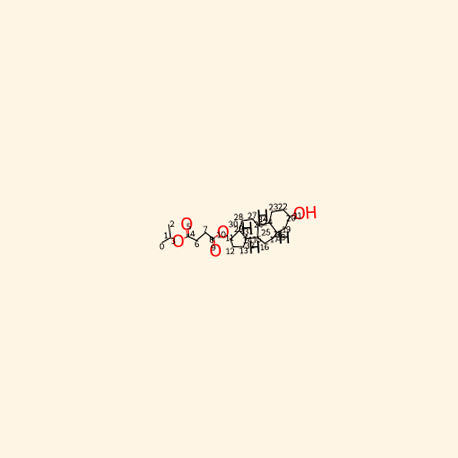 CC(C)OC(=O)CCC(=O)O[C@H]1CC[C@H]2[C@@H]3CC[C@@H]4C[C@H](O)CC[C@]4(C)[C@H]3CC[C@]12C